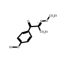 CCOC(=O)O/N=C(\C(=O)OCC)C(=O)c1ccc(OCC)cc1